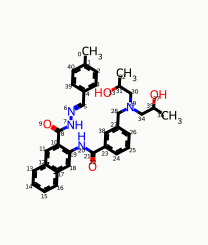 Cc1ccc(C=NNC(=O)c2cc3ccccc3cc2NC(=O)c2cccc(CN(CC(C)O)CC(C)O)c2)cc1